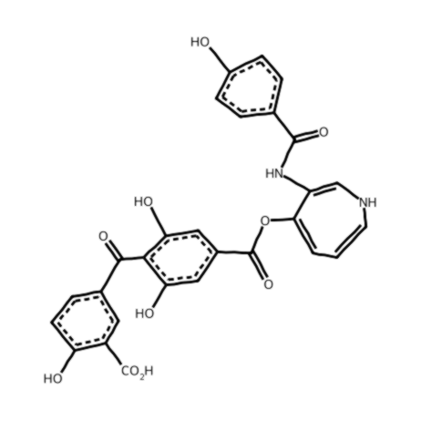 O=C(NC1=CNC=CC=C1OC(=O)c1cc(O)c(C(=O)c2ccc(O)c(C(=O)O)c2)c(O)c1)c1ccc(O)cc1